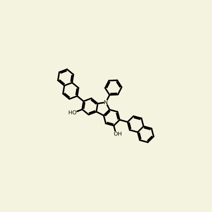 Oc1cc2c3cc(O)c(-c4ccc5ccccc5c4)cc3n(-c3ccccc3)c2cc1-c1ccc2ccccc2c1